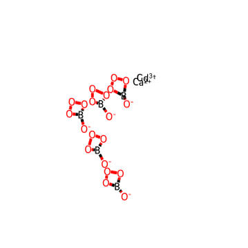 [Ca+2].[Gd+3].[O-]B1OOO1.[O-]B1OOO1.[O-]B1OOO1.[O-]B1OOO1.[O-]B1OOO1